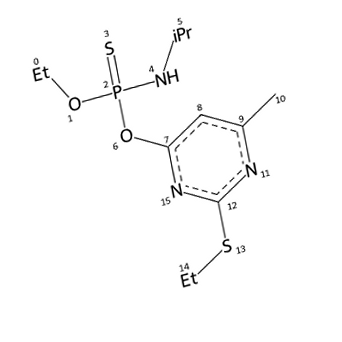 CCOP(=S)(NC(C)C)Oc1cc(C)nc(SCC)n1